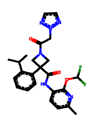 Cc1ccc(NC(=O)C2(c3ccccc3C(C)C)CN(C(=O)Cn3nccn3)C2)c(OC(F)F)n1